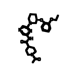 CCOc1ccccc1O[C@@H]1CCCN(c2cncc(NC(=O)C3CCN(C(C)=O)CC3)n2)C1